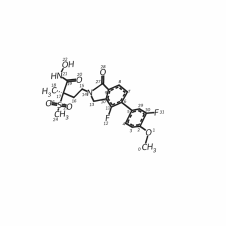 COc1ccc(-c2ccc3c(c2F)CN(CC[C@](C)(C(=O)NO)S(C)(=O)=O)C3=O)cc1F